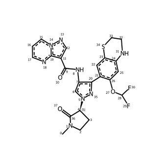 CN1CC[C@H](n2cc(NC(=O)c3cnn4cccnc34)c(-c3cc4c(cc3OC(F)F)NCCS4)n2)C1=O